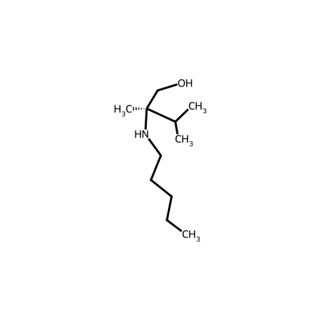 CCCCCN[C@@](C)(CO)C(C)C